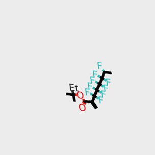 C=C(C(=O)OC(C)(C)CC)C(F)(F)C(F)(F)C(F)(F)C(F)(F)C(C)F